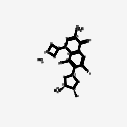 C[C@H]1CN(c2c(F)cc3c(=O)c(C(=O)O)cn(C4COC4)c3c2F)C[C@H]1N.Cl